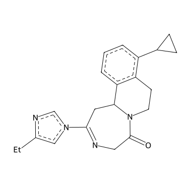 CCc1cn(C2=NCC(=O)N3CCc4c(C5CC5)cccc4C3C2)cn1